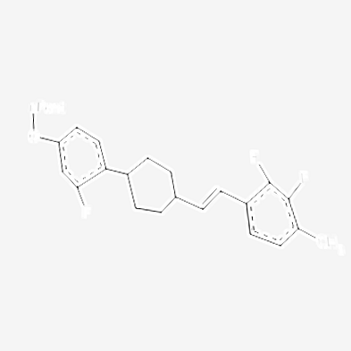 CCCCCOc1ccc(C2CCC(/C=C/c3ccc(C)c(F)c3F)CC2)c(F)c1